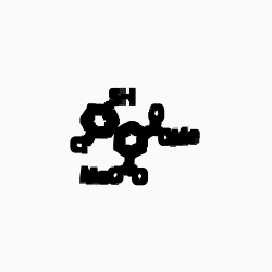 COC(=O)c1cccc(C(=O)OC)c1.Sc1ccc(Cl)cc1